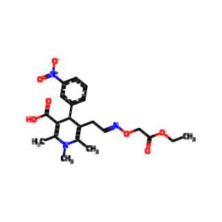 CCOC(=O)CON=CCC1=C(C)N(C)C(C)=C(C(=O)O)C1c1cccc([N+](=O)[O-])c1